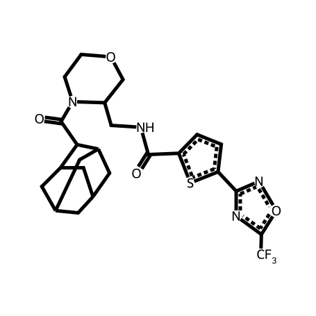 O=C(NCC1COCCN1C(=O)C1C2CC3CC(C2)CC1C3)c1ccc(-c2noc(C(F)(F)F)n2)s1